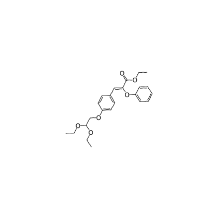 CCOC(=O)C(=Cc1ccc(OCC(OCC)OCC)cc1)Oc1ccccc1